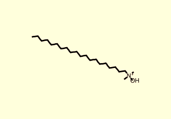 CCCCCCCCCCCCCCCCCCCC[N+](C)(C)O